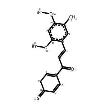 Cc1cc(C=CC(=O)C2=CCC(=S)C=C2)c(OC(C)C)cc1OC(C)C